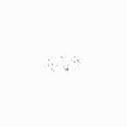 CC(C)[Si](Cl)(c1c2cc3cc(N(c4ccccc4)c4ccccc4)c(N(c4ccccc4)c4ccccc4)cc3cc2c([Si](Cl)(C(C)C)C(C)C)c2cc3cc(N(c4ccccc4)c4ccccc4)c(N(c4ccccc4)c4ccccc4)cc3cc12)C(C)C